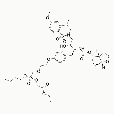 CCCCOP(=O)(COCCOc1ccc(C[C@H](NC(=O)O[C@H]2CO[C@H]3OCC[C@H]32)[C@H](O)CN2CC(C)c3cc(OC)ccc3S2(=O)=O)cc1)OCC(=O)OCC